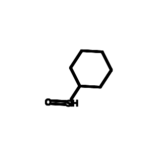 O=[SiH]C1CCCCC1